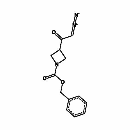 [N-]=[N+]=CC(=O)C1CN(C(=O)OCc2ccccc2)C1